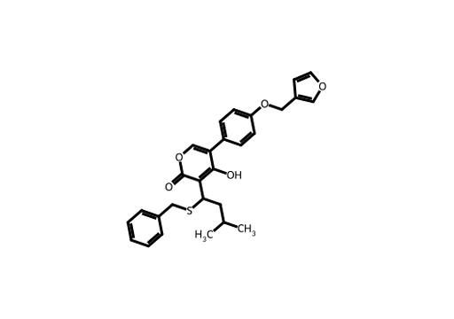 CC(C)CC(SCc1ccccc1)c1c(O)c(-c2ccc(OCc3ccoc3)cc2)coc1=O